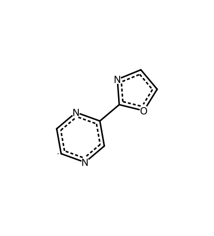 [c]1cnc(-c2ncco2)cn1